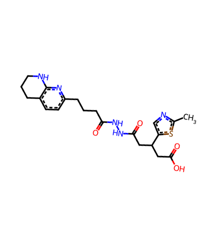 Cc1ncc(C(CC(=O)O)CC(=O)NNC(=O)CCCc2ccc3c(n2)NCCC3)s1